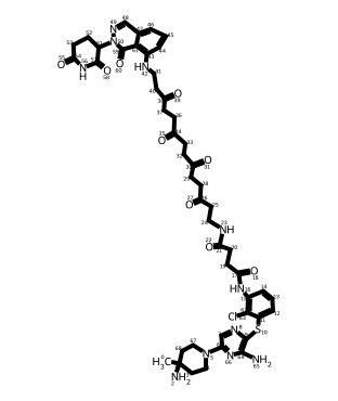 CC1(N)CCN(c2cnc(Sc3cccc(NC(=O)CCC(=O)NCCC(=O)CCC(=O)CCC(=O)CCC(=O)CCNc4cccc5cnn(C6CCC(=O)NC6=O)c(=O)c45)c3Cl)c(N)n2)CC1